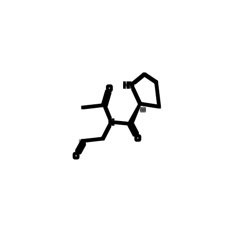 CC(=O)N(C[C]=O)C(=O)[C@@H]1CCCN1